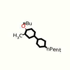 CCCCCC1CCC(C2CC[C@@H](OCCCC)[C@H](C)C2)CC1